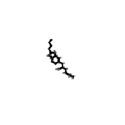 CCCCc1nc2ccc(CC(=O)CN=[N+]=[N-])cc2o1